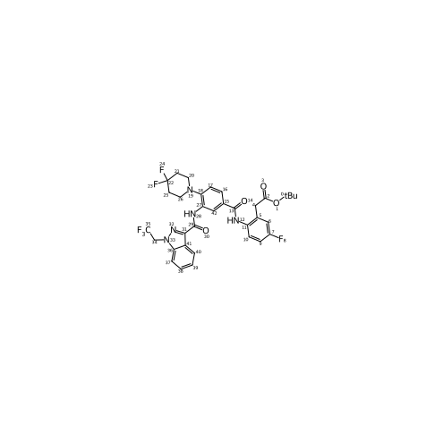 CC(C)(C)OC(=O)Cc1cc(F)ccc1NC(=O)c1ccc(N2CCC(F)(F)CC2)c(NC(=O)c2nn(CC(F)(F)F)c3ccccc23)c1